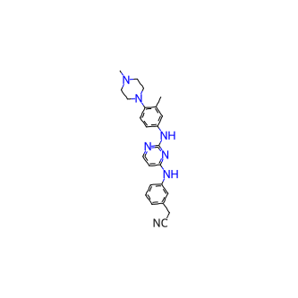 Cc1cc(Nc2nccc(Nc3cccc(CC#N)c3)n2)ccc1N1CCN(C)CC1